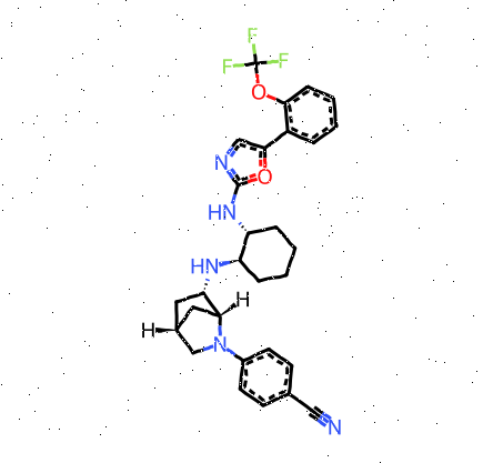 N#Cc1ccc(N2C[C@@H]3C[C@H](N[C@@H]4CCCC[C@H]4Nc4ncc(-c5ccccc5OC(F)(F)F)o4)[C@H]2C3)cc1